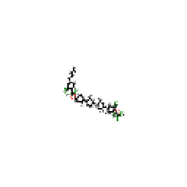 CCCCCc1ccc(C(F)(F)Oc2ccc(C3CCC(C4CCC(c5ccc(OC(F)(F)F)c(F)c5)CC4)CC3)cc2)c(F)c1